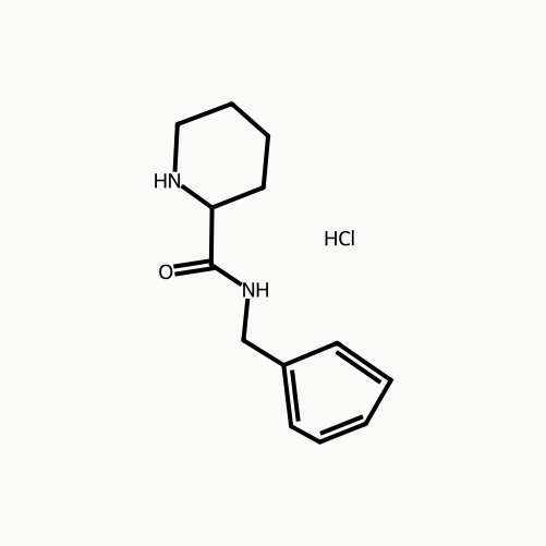 Cl.O=C(NCc1ccccc1)C1CCCCN1